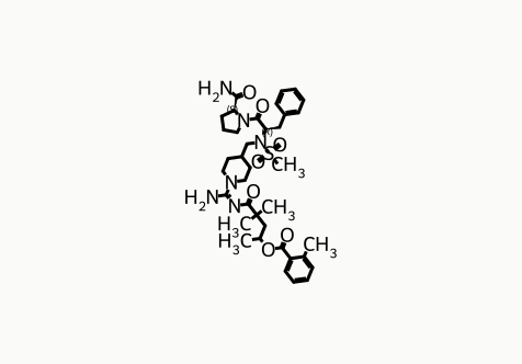 Cc1ccccc1C(=O)OC(C)CC(C)(C)C(=O)N=C(N)N1CCC(CN([C@H](Cc2ccccc2)C(=O)N2CCC[C@H]2C(N)=O)S(C)(=O)=O)CC1